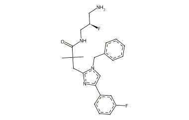 CC(C)([CH]c1nc(-c2cccc(F)c2)cn1Cc1ccccc1)C(=O)NC[C@H](F)CN